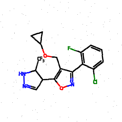 Fc1cccc(Cl)c1-c1noc(C2C=NNC2C(F)(F)F)c1COC1CC1